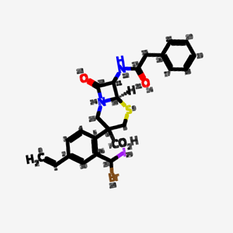 C=Cc1ccc(C2(C(=O)O)CS[C@@H]3C(NC(=O)Cc4ccccc4)C(=O)N3C2)c(C(Br)I)c1